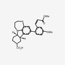 COC(=O)/C=C\c1cc(OC)ccc1-c1cc2c3c(c1)[C@@H]1CN(C(=O)O)CC[C@@H]1N3CCCS2